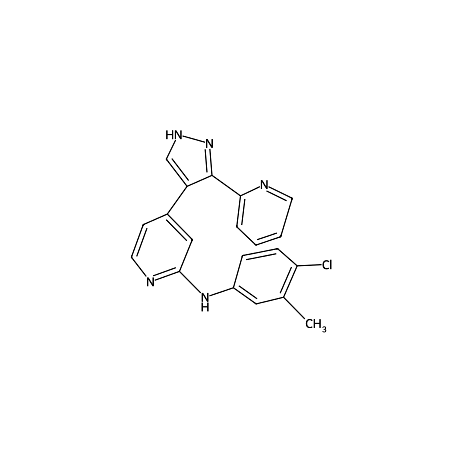 Cc1cc(Nc2cc(-c3c[nH]nc3-c3ccccn3)ccn2)ccc1Cl